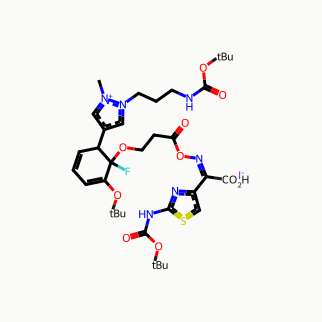 C[n+]1cc(C2C=CC=C(OC(C)(C)C)C2(F)OCCC(=O)ON=C(C(=O)O)c2csc(NC(=O)OC(C)(C)C)n2)cn1CCCNC(=O)OC(C)(C)C.[I-]